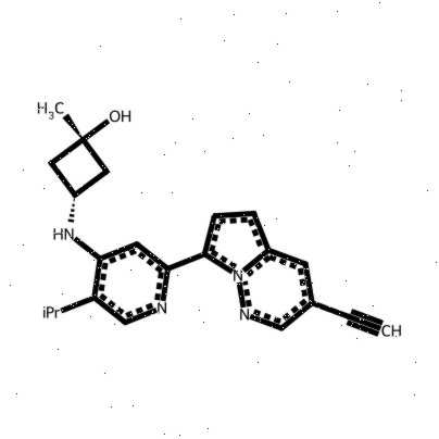 C#Cc1cnn2c(-c3cc(N[C@H]4C[C@@](C)(O)C4)c(C(C)C)cn3)ccc2c1